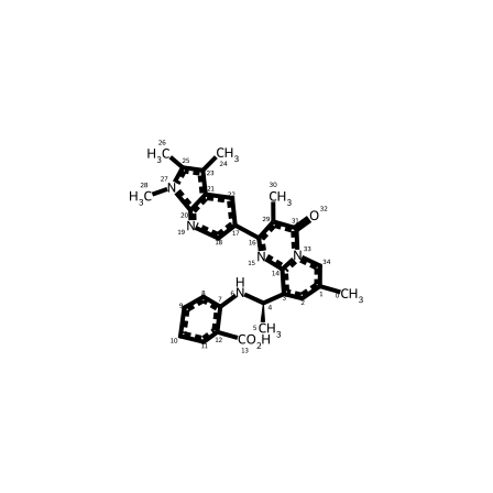 Cc1cc([C@@H](C)Nc2ccccc2C(=O)O)c2nc(-c3cnc4c(c3)c(C)c(C)n4C)c(C)c(=O)n2c1